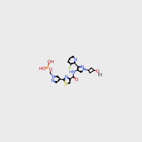 CCOC1CC(n2cc(NC(=O)c3csc(-c4cnn(COP(O)O)c4)n3)c(-c3ncccc3F)n2)C1